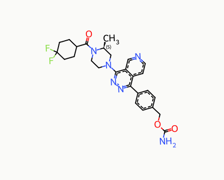 C[C@H]1CN(c2nnc(-c3ccc(COC(N)=O)cc3)c3ccncc23)CCN1C(=O)C1CCC(F)(F)CC1